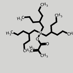 C=C(C)C(=O)O[Si](CC(CCC)CCC)(CC(CCC)CCC)CC(CCC)CCC